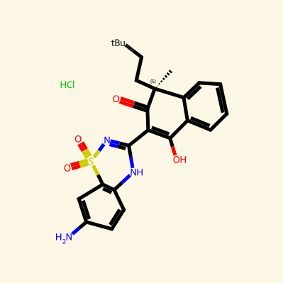 CC(C)(C)CC[C@]1(C)C(=O)C(C2=NS(=O)(=O)c3cc(N)ccc3N2)=C(O)c2ccccc21.Cl